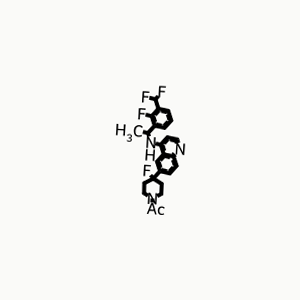 CC(=O)N1CCC(F)(c2ccc3nccc(NC(C)c4cccc(C(F)F)c4F)c3c2)CC1